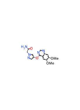 COc1cc2ncnc(Oc3cnn(CC(N)=O)c3)c2cc1OC